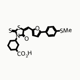 CSc1ccc(-c2ccc(/C=C3/SC(=S)N(C4CCCC(C(=O)O)C4)C3=O)o2)cc1